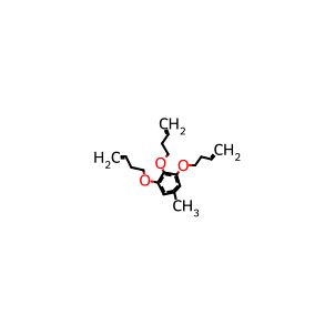 C=CCCOc1cc(C)cc(OCCC=C)c1OCCC=C